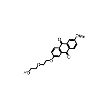 COc1ccc2c(c1)C(=O)c1ccc(OCCOCCO)cc1C2=O